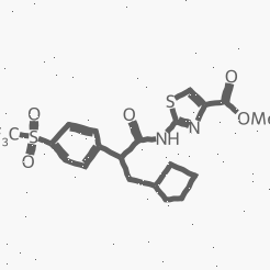 COC(=O)c1csc(NC(=O)C(CC2CCCC2)c2ccc(S(=O)(=O)C(F)(F)F)cc2)n1